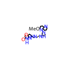 COc1ccc2nccc(N3CCC(NCCNCc4ccc5c(n4)NC(=O)CO5)C3)c2n1